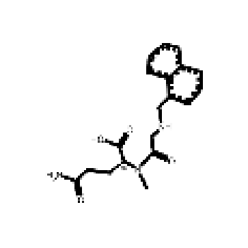 CN(C(=O)CNCc1cccc2ccccc12)[C@@H](CCC(N)=O)C(=O)O